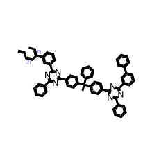 C=C/C=C\C(=C/C)c1cccc(-c2nc(-c3ccccc3)nc(-c3ccc(C(C)(c4ccccc4)c4ccc(-c5nc(-c6ccccc6)nc(-c6cccc(-c7ccccc7)c6)n5)cc4)cc3)n2)c1